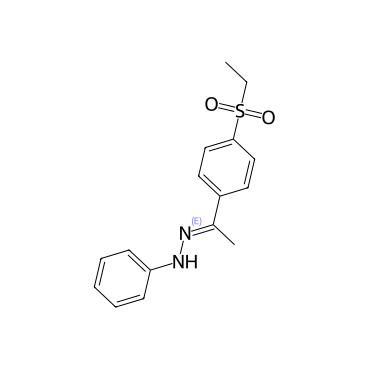 CCS(=O)(=O)c1ccc(/C(C)=N/Nc2ccccc2)cc1